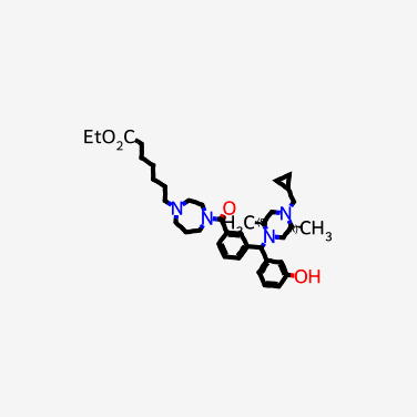 CCOC(=O)CCCCCCN1CCCN(C(=O)c2cccc(C(c3cccc(O)c3)N3C[C@@H](C)N(CC4CC4)C[C@@H]3C)c2)CC1